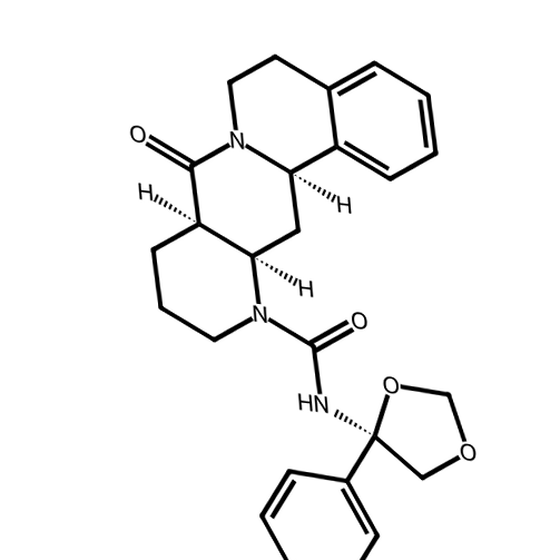 O=C1[C@@H]2CCCN(C(=O)N[C@@]3(c4ccccc4)COCO3)[C@@H]2C[C@@H]2c3ccccc3CCN12